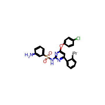 CC(C)c1ccccc1-c1cc(Oc2ccc(Cl)cc2)nc(NS(=O)(=O)c2cccc(N)c2)n1